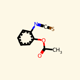 CC(=O)Oc1ccccc1N=C=S